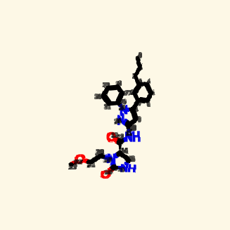 CCCc1cccc(-c2cc(NC(=O)[C@@H]3CNC(=O)N3CCOC)nn2-c2ccccc2)c1